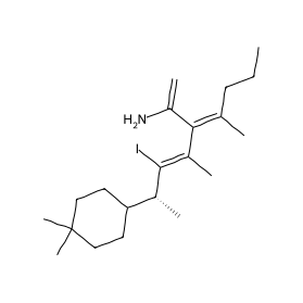 C=C(N)C(=C(/C)CCC)/C(C)=C(\I)[C@H](C)C1CCC(C)(C)CC1